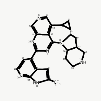 FC(F)(F)c1cc2c(-c3nc(N4CCC5CNCCC54)c4c(C5CC5)cncc4n3)ccnc2[nH]1